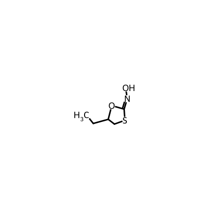 CCC1CS/C(=N/O)O1